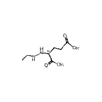 CCNN[C@@H](CCC(=O)O)C(=O)O